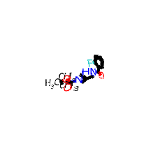 CC(C)(C)OC(=O)N1CC(CNC(=O)c2ccccc2F)C1